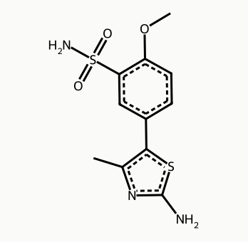 COc1ccc(-c2sc(N)nc2C)cc1S(N)(=O)=O